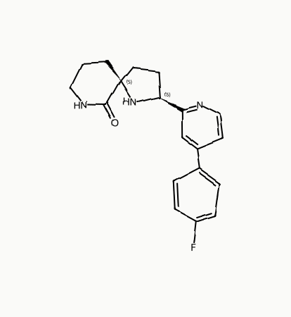 O=C1NCCC[C@]12CC[C@@H](c1cc(-c3ccc(F)cc3)ccn1)N2